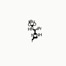 CC(C)[C@H](NC(=O)OC(C)(C)C)c1nc(I)c[nH]1